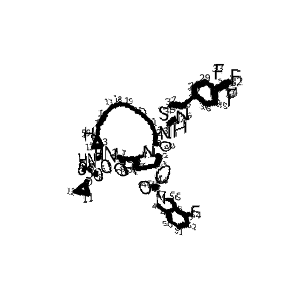 O=C1N[C@]2(C(=O)NS(=O)(=O)C3CC3)C[C@H]2/C=C\CCCCC[C@H](Nc2nc(-c3ccc(C(F)(F)F)cc3)cs2)C(=O)N2C[C@H](OC(=O)N3Cc4cccc(F)c4C3)C[C@@H]12